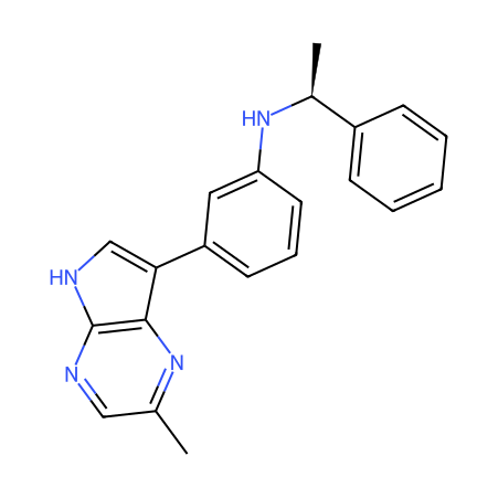 Cc1cnc2[nH]cc(-c3cccc(N[C@@H](C)c4ccccc4)c3)c2n1